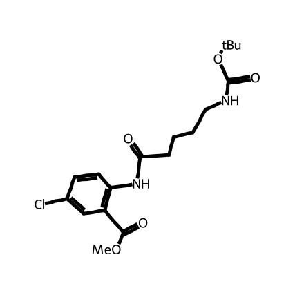 COC(=O)c1cc(Cl)ccc1NC(=O)CCCCNC(=O)OC(C)(C)C